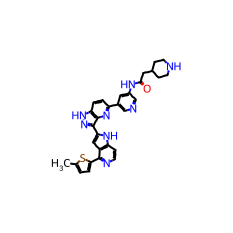 Cc1ccc(-c2nccc3[nH]c(-c4n[nH]c5ccc(-c6cncc(NC(=O)CC7CCNCC7)c6)nc45)cc23)s1